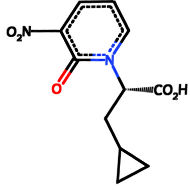 O=C(O)[C@H](CC1CC1)n1cccc([N+](=O)[O-])c1=O